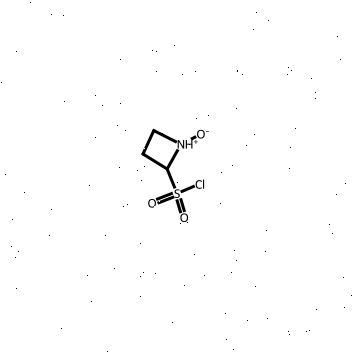 O=S(=O)(Cl)C1CC[NH+]1[O-]